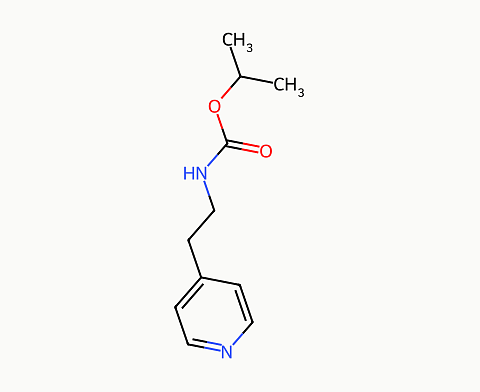 CC(C)OC(=O)NCCc1ccncc1